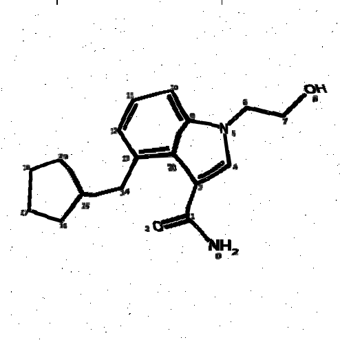 NC(=O)c1cn(CCO)c2cccc(CC3CCCC3)c12